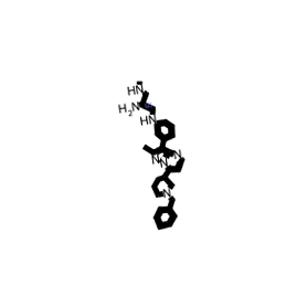 CNC/C(N)=C/Nc1cccc(-c2c(C)nn3c(C4CCCN(Cc5ccccc5)C4)ccnc23)c1